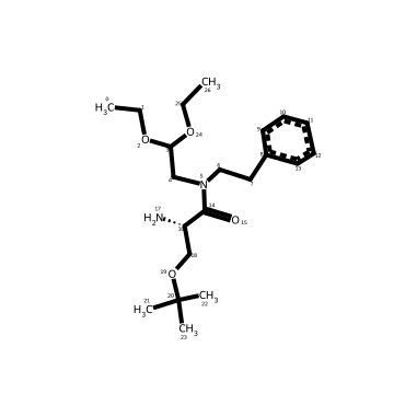 CCOC(CN(CCc1ccccc1)C(=O)[C@@H](N)COC(C)(C)C)OCC